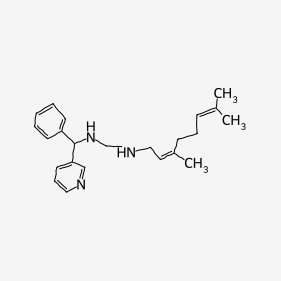 CC(C)=CCCC(C)=CCNCCNC(c1ccccc1)c1cccnc1